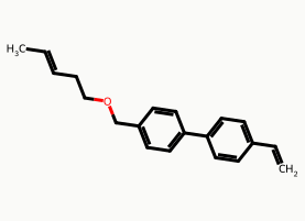 C=Cc1ccc(-c2ccc(COCCC=CC)cc2)cc1